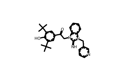 CC(C)(C)c1cc(C(=O)Cn2c(=N)n(Cc3cccnc3)c3ccccc32)cc(C(C)(C)C)c1O